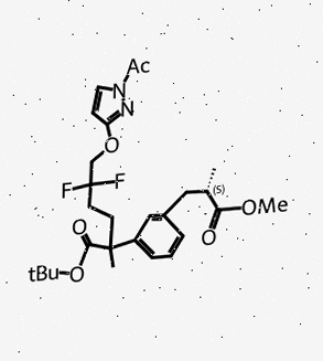 COC(=O)[C@@H](C)Cc1cccc(C(C)(CCC(F)(F)COc2ccn(C(C)=O)n2)C(=O)OC(C)(C)C)c1